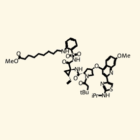 C=C[C@@H]1C[C@]1(NC(=O)[C@@H]1C[C@@H](Oc2cc(-c3csc(NC(C)C)n3)nc3cc(OC)ccc23)CN1C(=O)CC(C)(C)C)C(=O)NS(=O)(=O)c1ccccc1NCCCCCCCCC(=O)OC